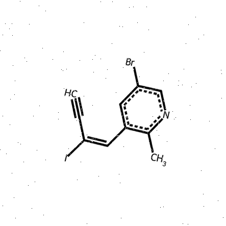 C#C/C(I)=C\c1cc(Br)cnc1C